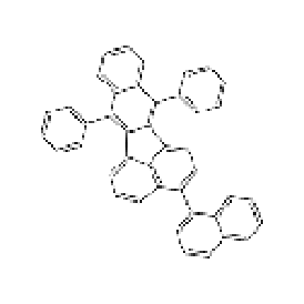 c1ccc(-c2c3c(c(-c4ccccc4)c4ccccc24)-c2ccc(-c4cccc5ccccc45)c4cccc-3c24)cc1